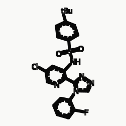 CC(C)(C)c1ccc(S(=O)(=O)Nc2cc(Cl)cnc2-c2nncn2-c2ccccc2F)cc1